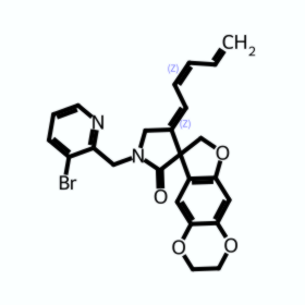 C=C/C=C\C=C1/CN(Cc2ncccc2Br)C(=O)C12COc1cc3c(cc12)OCCO3